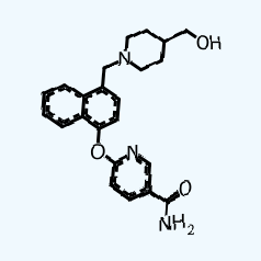 NC(=O)c1ccc(Oc2ccc(CN3CCC(CO)CC3)c3ccccc23)nc1